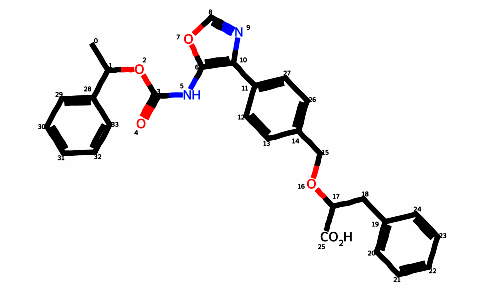 CC(OC(=O)Nc1ocnc1-c1ccc(COC(Cc2ccccc2)C(=O)O)cc1)c1ccccc1